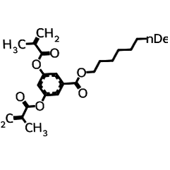 C=C(C)C(=O)Oc1cc(OC(=O)C(=C)C)cc(C(=O)OCCCCCCCCCCCCCCCC)c1